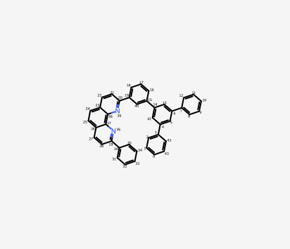 c1ccc(-c2cc(-c3ccccc3)cc(-c3cccc(-c4ccc5ccc6ccc(-c7ccccc7)nc6c5n4)c3)c2)cc1